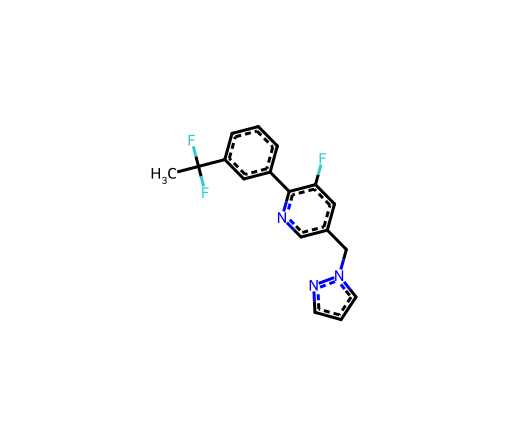 CC(F)(F)c1cccc(-c2ncc(Cn3cccn3)cc2F)c1